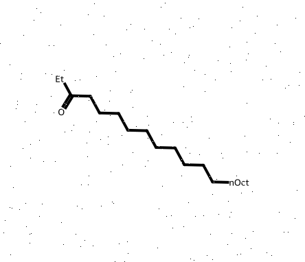 CCCCCCCCCCCCCCCCCCC(=O)CC